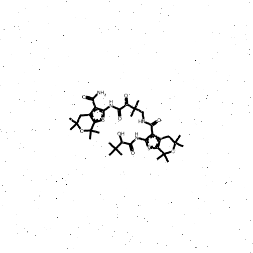 CC1(C)Cc2c(sc(NC(=O)C(=O)C(C)(C)CNC(=O)c3c(NC(=O)C(O)C(C)(C)C)sc4c3CC(C)(C)OC4(C)C)c2C(N)=O)C(C)(C)O1